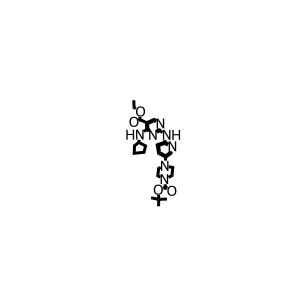 CCOC(=O)c1cnc(Nc2ccc(N3CCN(C(=O)OC(C)(C)C)CC3)cn2)nc1NC1CCCC1